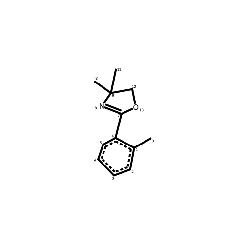 Cc1ccccc1C1=NC(C)(C)CO1